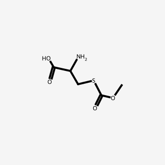 COC(=O)SCC(N)C(=O)O